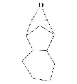 C1CCC2C(C1)C1CC2C2OC12